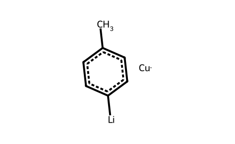 [Cu].[Li][c]1ccc(C)cc1